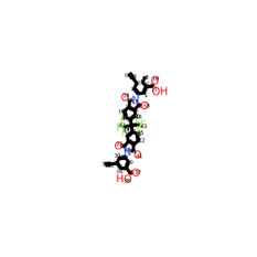 C#CC/C=C(\C=C(/CC)C(=O)O)N1C(=O)c2ccc(C(c3ccc4c(c3)C(=O)N(c3cc(C#C)cc(C(=O)O)c3)C4=O)(C(F)(F)F)C(F)(F)F)cc2C1=O